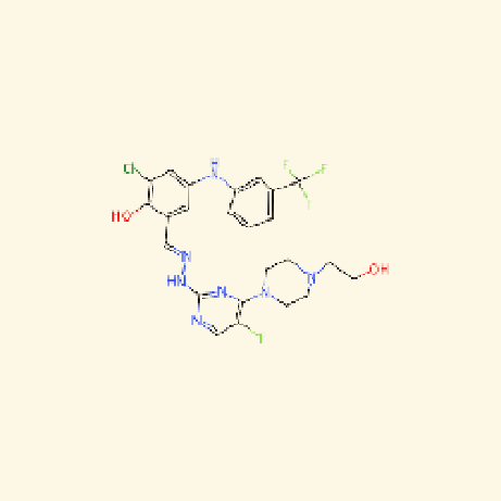 OCCN1CCN(c2nc(N/N=C/c3cc(Nc4cccc(C(F)(F)F)c4)cc(Cl)c3O)ncc2F)CC1